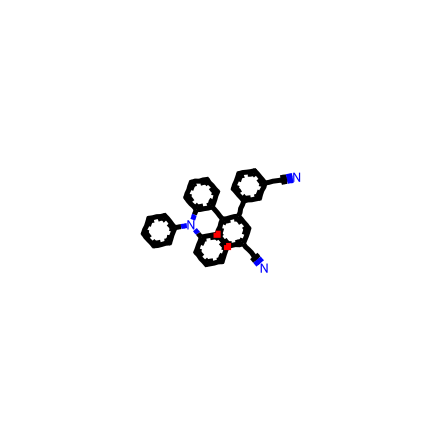 N#Cc1cccc(-c2cc(C#N)ccc2-c2ccccc2N(c2ccccc2)c2ccccc2)c1